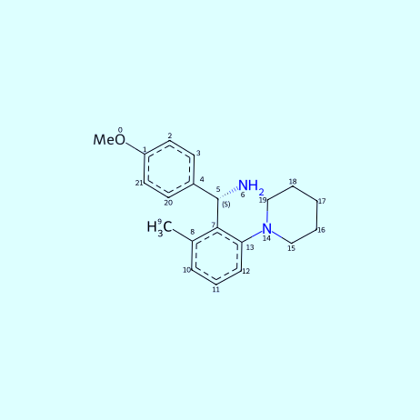 COc1ccc([C@H](N)c2c(C)cccc2N2CCCCC2)cc1